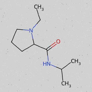 CCN1CCCC1C(=O)NC(C)C